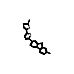 Cc1ccc2c(c1)Cc1cc(-c3ccc(-c4ccc(C)s4)s3)ccc1-2